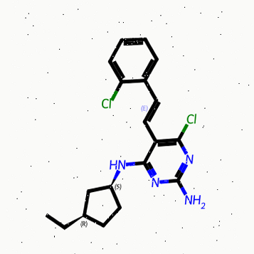 CC[C@@H]1CC[C@H](Nc2nc(N)nc(Cl)c2/C=C/c2ccccc2Cl)C1